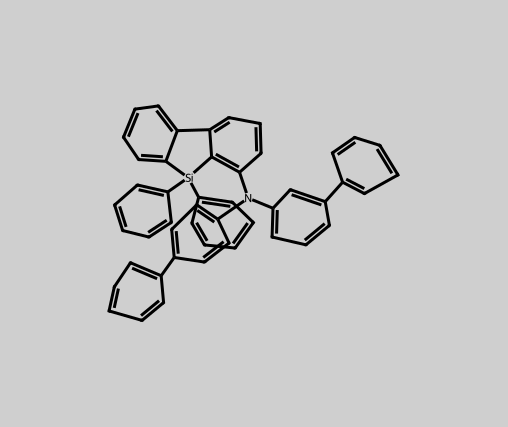 c1ccc(-c2ccc(N(c3cccc(-c4ccccc4)c3)c3cccc4c3[Si](c3ccccc3)(c3ccccc3)c3ccccc3-4)cc2)cc1